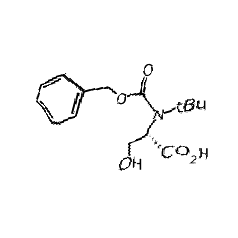 CC(C)(C)N(C(=O)OCc1ccccc1)[C@@H](CO)C(=O)O